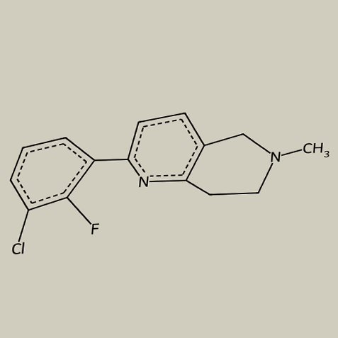 CN1CCc2nc(-c3cccc(Cl)c3F)ccc2C1